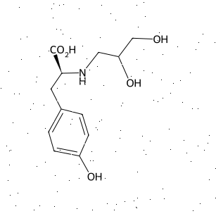 O=C(O)[C@H](Cc1ccc(O)cc1)NCC(O)CO